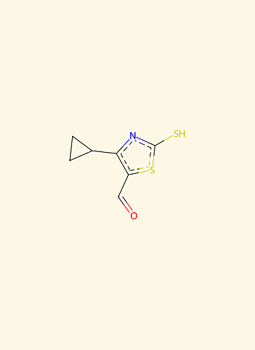 O=Cc1sc(S)nc1C1CC1